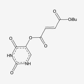 CC(C)COC(=O)/C=C/C(=O)Oc1c[nH]c(=O)[nH]c1=O